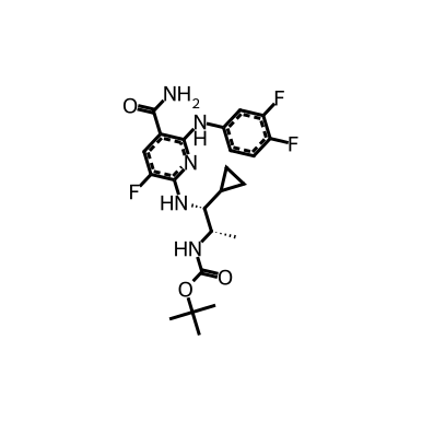 C[C@H](NC(=O)OC(C)(C)C)[C@H](Nc1nc(Nc2ccc(F)c(F)c2)c(C(N)=O)cc1F)C1CC1